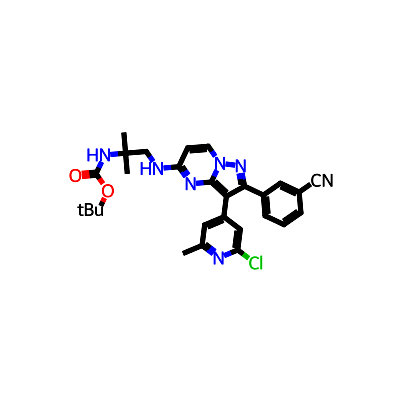 Cc1cc(-c2c(-c3cccc(C#N)c3)nn3ccc(NCC(C)(C)NC(=O)OC(C)(C)C)nc23)cc(Cl)n1